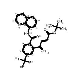 C=C(/C=C/C(=O)OC(C)(C)C)c1cc(C(F)(F)F)ccc1C(=O)Nc1cccc2cccnc12